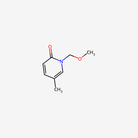 COCn1cc(C)ccc1=O